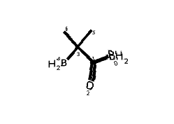 BC(=O)C(B)(C)C